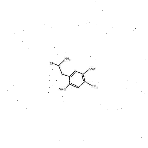 CCC(N)Cc1cc(SC)c(C)cc1OC